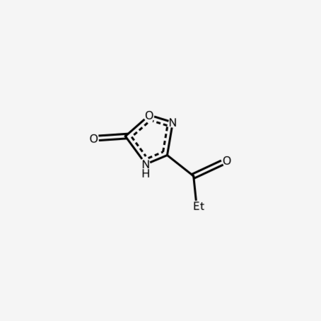 CCC(=O)c1noc(=O)[nH]1